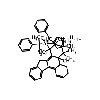 Cl.Cl.[CH2]=[Zr]([CH2]c1ccccc1)([C]1=CC=CC1)([C](C)(C)c1ccccc1)[C]1(C)C2=C3Cc4ccccc4C3=C3C=CCCC3C2(C)C(C)(C)C(C)(C)C1(C)C